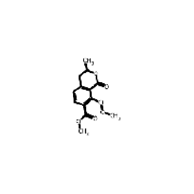 COOc1c(C(=O)OC)ccc2c1C(=O)OC(C)C2